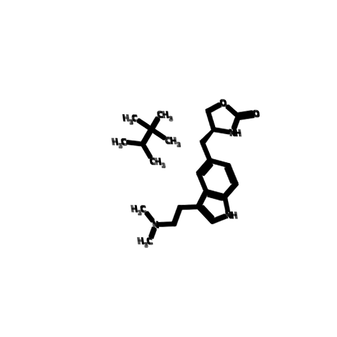 CC(C)C(C)(C)C.CN(C)CCc1c[nH]c2ccc(C[C@H]3COC(=O)N3)cc12